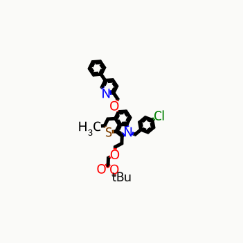 CC1Cc2c(OCc3ccc(-c4ccccc4)cn3)ccc3c2c(c(CCOCC(=O)OC(C)(C)C)n3Cc2ccc(Cl)cc2)S1